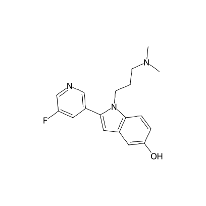 CN(C)CCCn1c(-c2cncc(F)c2)cc2cc(O)ccc21